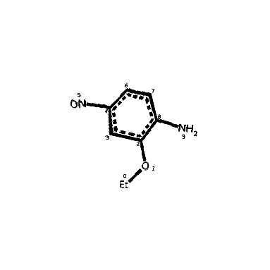 CCOc1cc(N=O)ccc1N